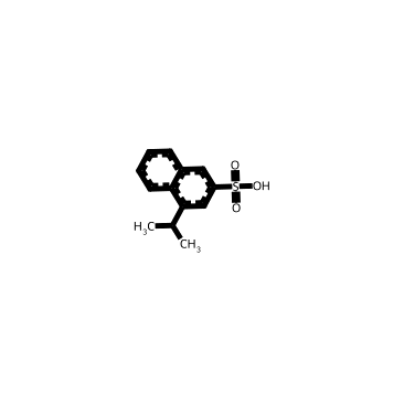 CC(C)c1cc(S(=O)(=O)O)cc2ccccc12